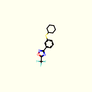 FC(F)(F)c1nc(-c2cc[c]c(SC3CCCCC3)c2)no1